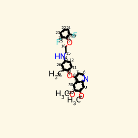 COc1cc2nccc(Oc3ccc(NCCOc4c(F)cccc4F)cc3C)c2cc1OC